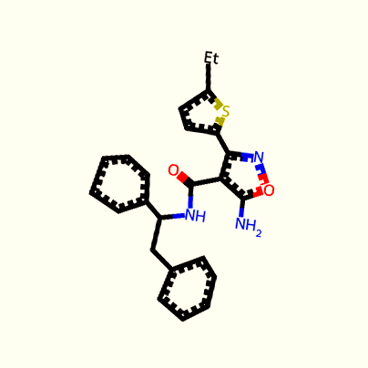 CCc1ccc(-c2noc(N)c2C(=O)NC(Cc2ccccc2)c2ccccc2)s1